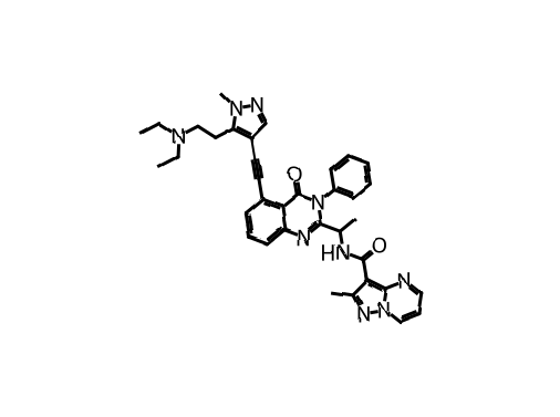 CCN(CC)CCc1c(C#Cc2cccc3nc(C(C)NC(=O)c4c(C)nn5cccnc45)n(-c4ccccc4)c(=O)c23)cnn1C